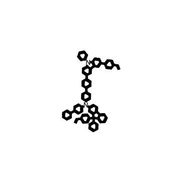 C=Cc1ccc(-c2ccc3c(c2)c2cc(-c4ccc(-c5ccc(N(c6ccc(-c7ccccc7)cc6)c6ccc7c(c6)C(c6ccccc6)(c6ccc(C=C)cc6)c6ccccc6-7)cc5)cc4)ccc2n3-c2ccccc2)cc1